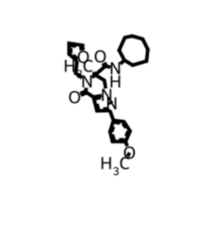 COc1ccc(-c2cc3n(n2)CC(C)(C(=O)NC2CCCCCCC2)N(Cc2ccco2)C3=O)cc1